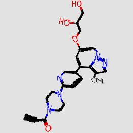 C#CC(=O)N1CCN(c2ccc(-c3cc(OC[C@@H](O)CO)cn4ncc(C#N)c34)cn2)CC1